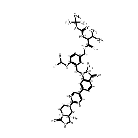 CC(C)C(NC(=O)OC(C)(C)C)C(=O)OCc1ccc(OC(F)F)c(Cn2c3cc(-c4cnc(N5CCN6C(=O)OC[C@@H]6C5)nc4)ccc3c(=O)n2C)c1